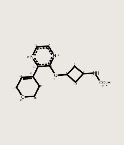 O=C(O)NC1CC(Oc2nccnc2C2=CCOCC2)C1